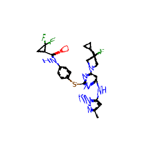 Cc1cc(Nc2cc(N3CC(F)(C4CC4)C3)nc(Sc3ccc(NC(=O)C4CC4(F)F)cc3)n2)[nH]n1